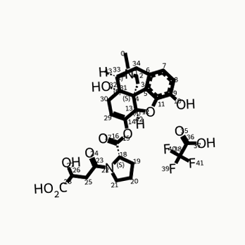 CN1CC[C@]23c4c5ccc(O)c4O[C@H]2C(OC(=O)[C@@H]2CCCN2C(=O)CC(O)C(=O)O)=CC[C@@]3(O)[C@H]1C5.O=C(O)C(F)(F)F